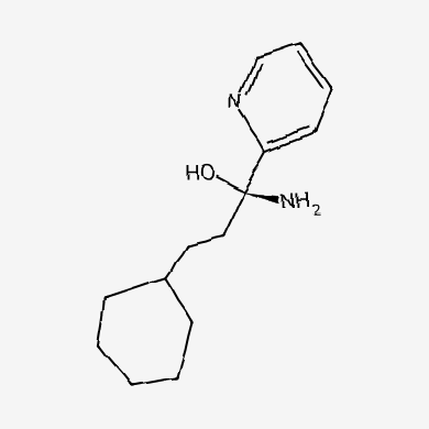 N[C@](O)(CCC1CCCCC1)c1ccccn1